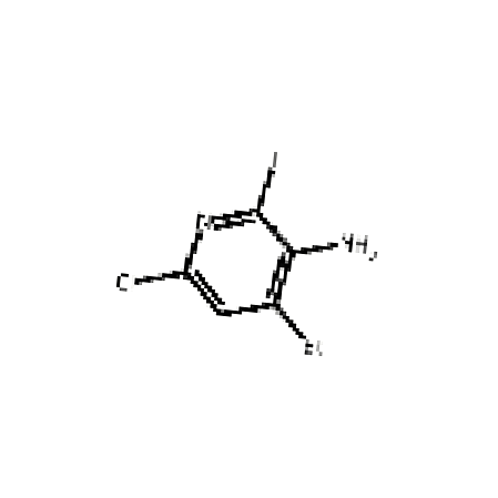 CCc1cc(Cl)nc(I)c1N